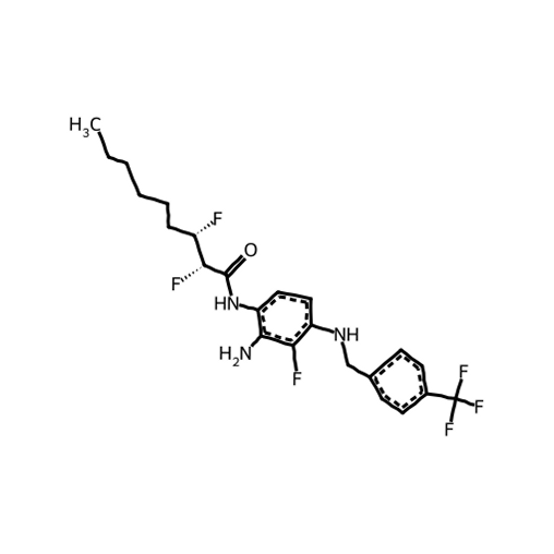 CCCCCC[C@H](F)[C@@H](F)C(=O)Nc1ccc(NCc2ccc(C(F)(F)F)cc2)c(F)c1N